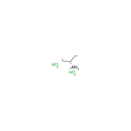 CCC.Cl.Cl.[AlH3]